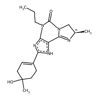 CCCN1C(=O)N2C[C@@H](C)N=C2c2[nH]c(C3=CCC(C)(O)CC3)nc21